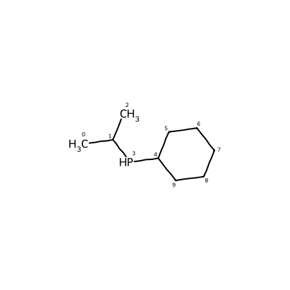 CC(C)PC1CCCCC1